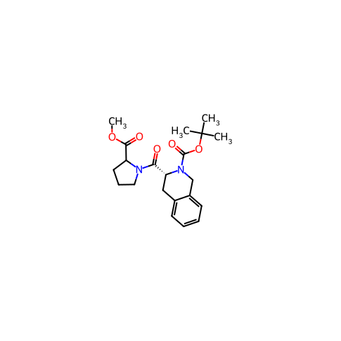 COC(=O)C1CCCN1C(=O)[C@H]1Cc2ccccc2CN1C(=O)OC(C)(C)C